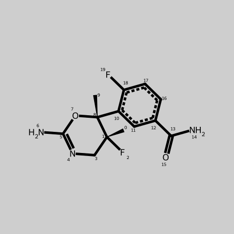 C[C@@]1(F)CN=C(N)O[C@]1(C)c1cc(C(N)=O)ccc1F